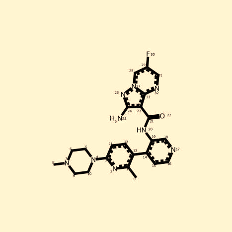 Cc1nc(N2CCN(C)CC2)ccc1-c1ccncc1NC(=O)c1c(N)nn2cc(F)cnc12